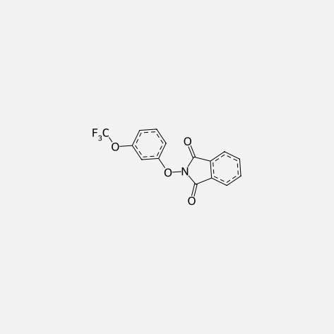 O=C1c2ccccc2C(=O)N1Oc1cccc(OC(F)(F)F)c1